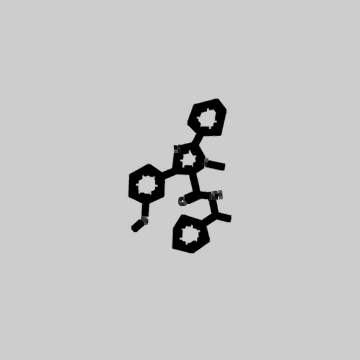 CSc1cccc(-c2nc(-c3ccccc3)n(C)c2C(=O)NC(C)c2ccccc2)c1